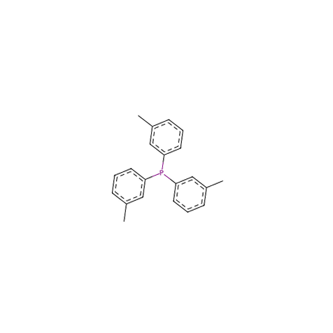 Cc1cccc(P(c2cccc(C)c2)c2cccc(C)c2)c1